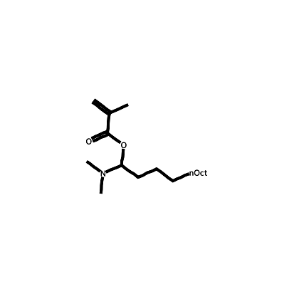 C=C(C)C(=O)OC(CCCCCCCCCCC)N(C)C